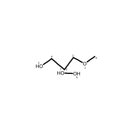 COCCCO.OO